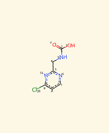 O=C(O)NCc1nccc(Cl)n1